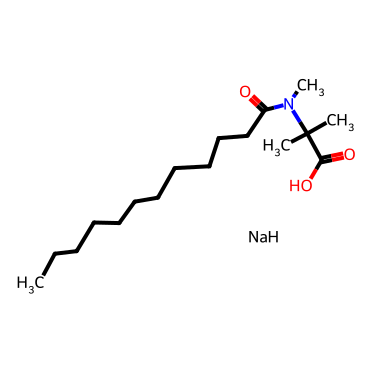 CCCCCCCCCCCC(=O)N(C)C(C)(C)C(=O)O.[NaH]